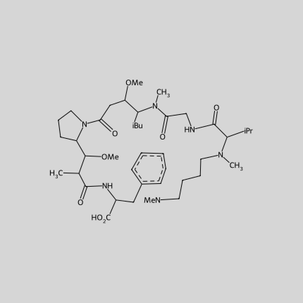 CCC(C)C(C(CC(=O)N1CCCC1C(OC)C(C)C(=O)NC(Cc1ccccc1)C(=O)O)OC)N(C)C(=O)CNC(=O)C(C(C)C)N(C)CCCCNC